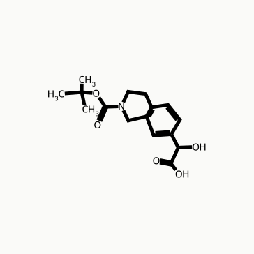 CC(C)(C)OC(=O)N1CCc2ccc(C(O)C(=O)O)cc2C1